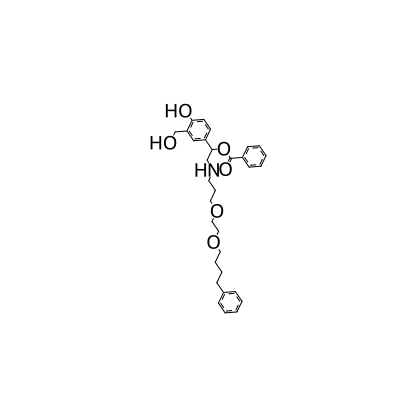 O=C(OC(CNCCCOCCOCCCCc1ccccc1)c1ccc(O)c(CO)c1)c1ccccc1